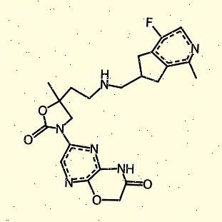 Cc1ncc(F)c2c1CC(CNCCC1(C)CN(c3cnc4c(n3)NC(=O)CO4)C(=O)O1)C2